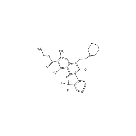 CCOC(=O)c1c(C)cc2c(c1C)c(=O)n(-c1ccccc1C(F)(F)F)c(=O)n2CCN1CCCCC1